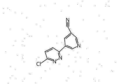 N#Cc1cncc(-c2ccc(Cl)nn2)c1